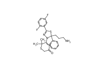 CC1(C)SCC(=O)N=C1N1N=C(c2cc(F)ccc2F)SC1(CCCN)c1ccccc1